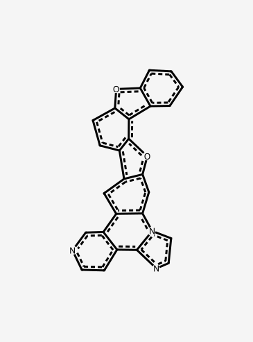 c1ccc2c(c1)oc1ccc3c4cc5c6cnccc6c6nccn6c5cc4oc3c12